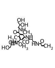 C=CC(=O)NCCCC(=O)Nc1c(C)c(C(=O)NCC(O)CO)c(C)c(C(=O)NCC(O)CO)c1C